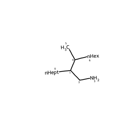 CCCCCCCC(CN)C(C)CCCCCC